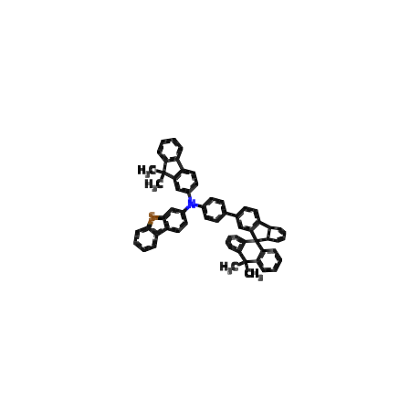 CC1(C)c2ccccc2-c2ccc(N(c3ccc(-c4ccc5c(c4)C4(c6ccccc6C(C)(C)c6ccccc64)C4C=CC=CC54)cc3)c3ccc4c(c3)sc3ccccc34)cc21